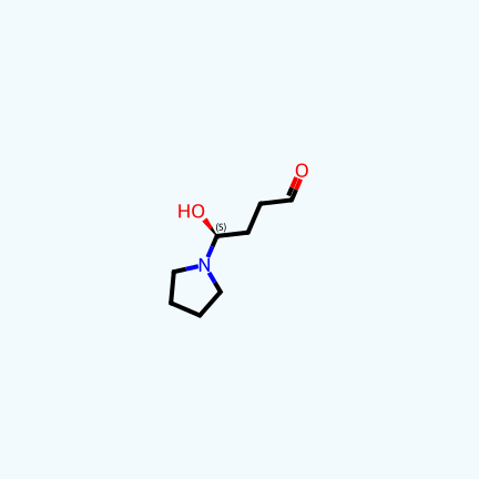 O=CCC[C@H](O)N1CCCC1